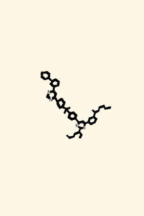 C=C/C=C\C=C(/C)c1cccc(-c2cc(-c3ccc(C(C)(C)c4ccc(-c5cc(-c6cccc(-c7ccccc7)c6)ncn5)cc4)cc3)nc(/C(C=C)=C/C=C\C)n2)c1